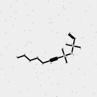 C=C[Si](C)(C)O[Si](C)(C)C#CCCCCC